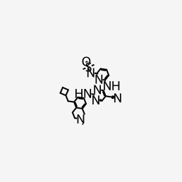 CN1CCc2c(CC3CCC3)cc(Nc3ncc(C#N)c(Nc4cccc(N=S(C)(C)=O)n4)n3)cc2C1